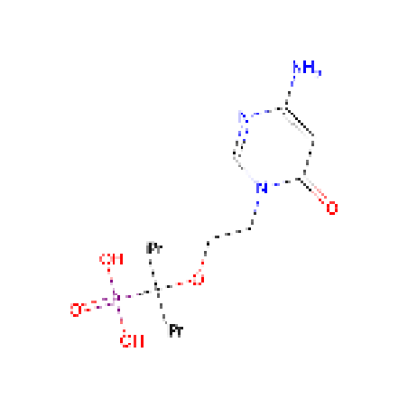 CC(C)C(OCCn1cnc(N)cc1=O)(C(C)C)P(=O)(O)O